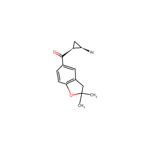 CC(=O)[C@@H]1C[C@@H]1C(=O)c1ccc2c(c1)CC(C)(C)O2